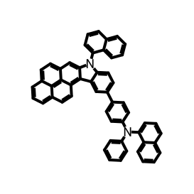 c1ccc(N(c2ccc(-c3ccc4c(c3)c3c5ccc6cccc7ccc(cc3n4-c3cccc4ccccc34)c5c76)cc2)c2cccc3ccccc23)cc1